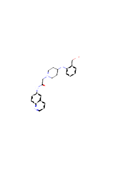 O=C(CN1CCC(Nc2ccccc2CO)CC1)Nc1ccc2ncccc2c1